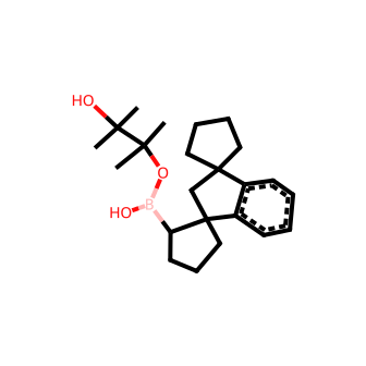 CC(C)(O)C(C)(C)OB(O)C1CCCC12CC1(CCCC1)c1ccccc12